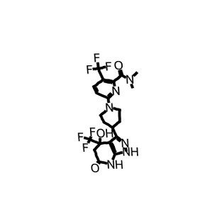 CN(C)C(=O)c1nc(N2CCC(c3n[nH]c4c3C(O)(C(F)(F)F)CC(=O)N4)CC2)ccc1C(F)(F)F